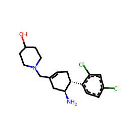 N[C@H]1CC(CN2CCC(O)CC2)=CC[C@@H]1c1ccc(Cl)cc1Cl